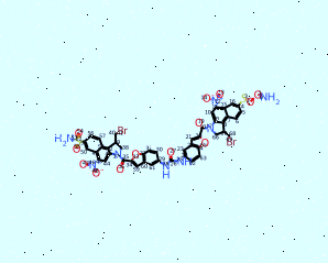 NOOSc1ccc2c3c(cc([N+](=O)[O-])c2c1)N(C(=O)c1cc2cc(NC(=O)Nc4ccc5oc(C(=O)N6CC(CBr)c7c6cc([N+](=O)[O-])c6cc(S(N)(=O)=O)ccc76)cc5c4)ccc2o1)CC3CBr